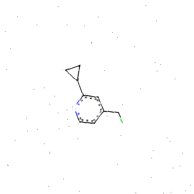 ClCc1ccnc(C2CC2)c1